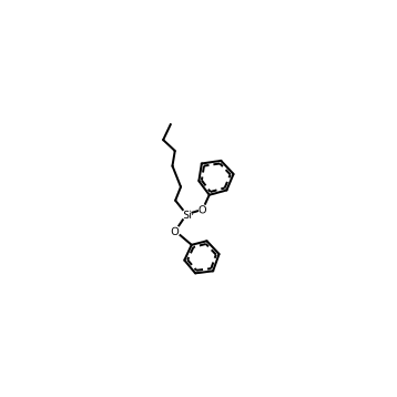 CCCCCC[Si](Oc1ccccc1)Oc1ccccc1